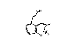 CC(N)Cc1c(Cl)cccc1CCO